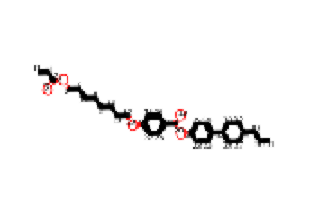 C=CC(=O)OCCCCCCCCOc1ccc(C(=O)Oc2ccc(C3CCC(CCC)CC3)cc2)cc1